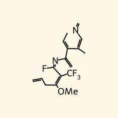 C=CC/C(OC)=C(\C(F)=N/C(=C)C(=C/C)/C(C)=C\N=C)C(F)(F)F